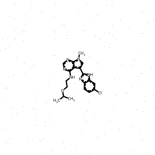 CC(C)OCCNc1ncnc2c1c(-c1nc3ccc(Cl)cc3[nH]1)cn2C